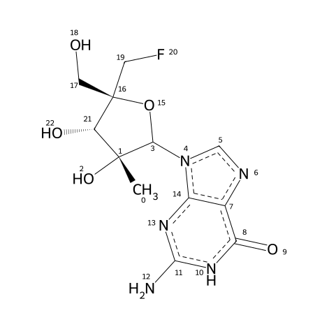 C[C@]1(O)C(n2cnc3c(=O)[nH]c(N)nc32)O[C@@](CO)(CF)[C@H]1O